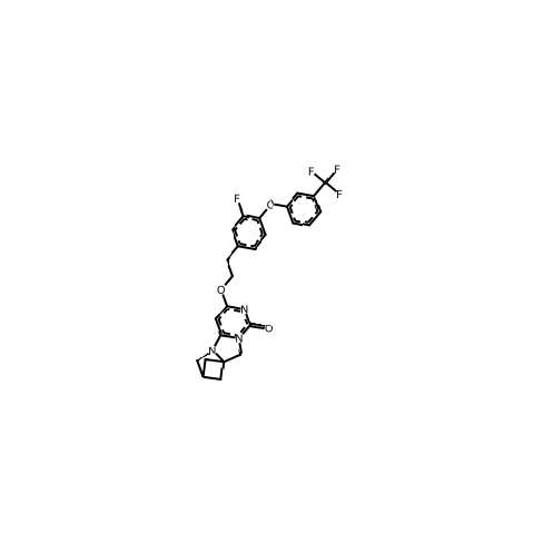 O=c1nc(OCCc2ccc(Oc3cccc(C(F)(F)F)c3)c(F)c2)cc2n1CC13CC(CN21)C3